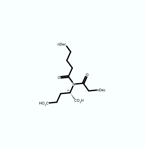 CCCCCCCCCCCCCC(=O)N(C(=O)CCCCCCCCCCC)[C@@H](CCC(=O)O)C(=O)O